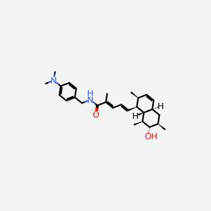 C/C(=C\C=C\[C@@H]1[C@H]2[C@H](C)[C@@H](O)[C@H](C)C[C@@H]2C=C[C@@H]1C)C(=O)NCc1ccc(N(C)C)cc1